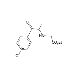 CCOC(=O)CNC(C)C(=O)c1ccc(Cl)cc1